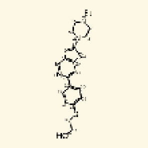 CCN1CCN(c2cc3cnc(-c4ccc(OCCO)cc4)cc3s2)CC1